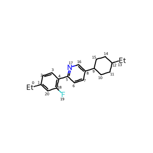 CCc1ccc(-c2ccc(C3CCC(CC)CC3)cn2)c(F)c1